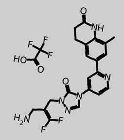 Cc1cc(-c2cc(-n3cnn(CC(CN)=C(F)F)c3=O)ccn2)cc2c1NC(=O)CC2.O=C(O)C(F)(F)F